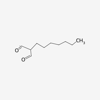 CCCCCCCC([C]=O)C=O